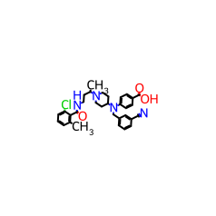 Cc1cccc(Cl)c1C(=O)NCCC(C)N1CCC(N(Cc2cccc(C#N)c2)c2ccc(C(=O)O)cc2)CC1